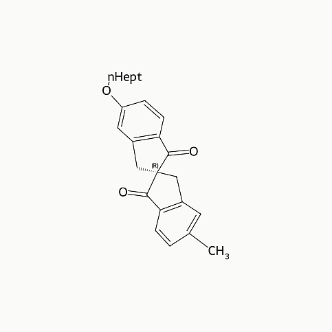 CCCCCCCOc1ccc2c(c1)C[C@@]1(Cc3cc(C)ccc3C1=O)C2=O